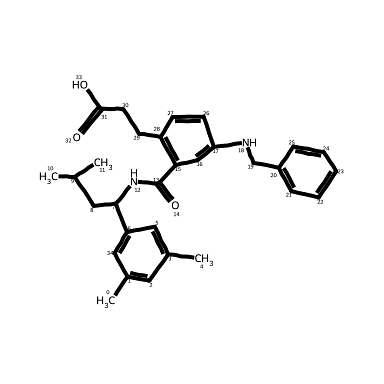 Cc1cc(C)cc(C(CC(C)C)NC(=O)c2cc(NCc3ccccc3)ccc2CCC(=O)O)c1